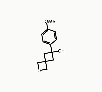 COc1ccc(C2(O)CC3(COC3)C2)cc1